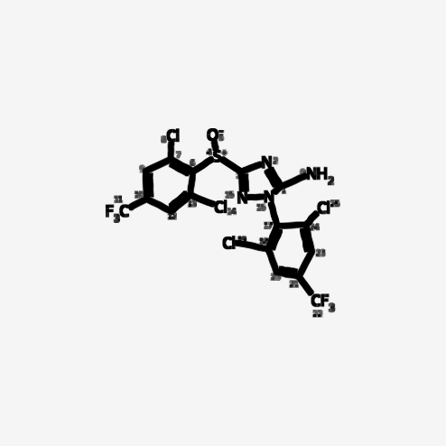 Nc1nc([S+]([O-])c2c(Cl)cc(C(F)(F)F)cc2Cl)nn1-c1c(Cl)cc(C(F)(F)F)cc1Cl